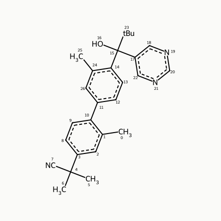 Cc1cc(C(C)(C)C#N)ccc1-c1ccc(C(O)(c2cncnc2)C(C)(C)C)c(C)c1